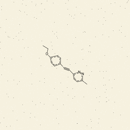 CCOc1ccc(C#Cc2ccc(C)nn2)cc1